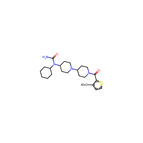 COc1ccsc1C(=O)N1CCC(N2CCC(N(C(N)=O)C3CCCCC3)CC2)CC1